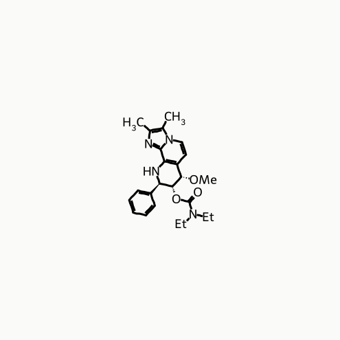 CCN(CC)C(=O)O[C@@H]1[C@@H](c2ccccc2)Nc2c(ccn3c(C)c(C)nc23)[C@@H]1OC